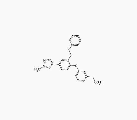 Cn1cc(-c2ccc(Oc3cccc(CC(=O)O)c3)c(CSc3ccccc3)c2)cn1